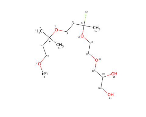 CCCOCCC(C)(C)OCCC(C)(F)OCCOCC(O)CO